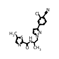 Cc1cnc(C(=O)NC(C)Cn2ccc(-c3ccc(C#N)c(Cl)c3)n2)s1